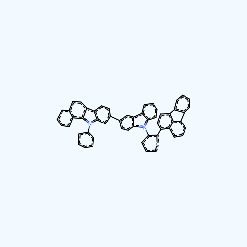 c1ccc(-n2c3cc(-c4ccc5c(c4)c4ccccc4n5-c4ccccc4-c4ccc5c6c(cccc46)-c4ccccc4-5)ccc3c3ccc4ccccc4c32)cc1